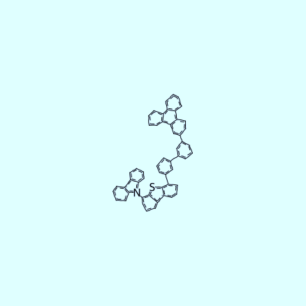 c1cc(-c2cccc(-c3cccc4c3sc3c(-n5c6ccccc6c6ccccc65)cccc34)c2)cc(-c2ccc3c4ccccc4c4ccccc4c3c2)c1